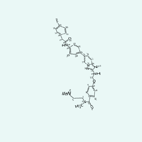 CNCCN(C)C(=O)c1ccc(OCNc2nc3ccc(-c4ccc(NC(=O)Cc5ccc(F)cc5)cc4)cn3n2)cc1